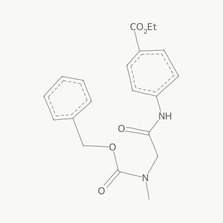 CCOC(=O)c1ccc(NC(=O)CN(C)C(=O)OCc2ccccc2)cc1